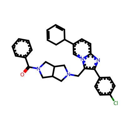 O=C(c1ccccc1)N1CC2CN(Cc3c(-c4ccc(Cl)cc4)nc4ccc(C5C=CC=CC5)cn34)CC2C1